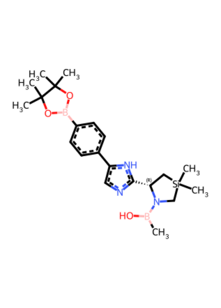 CB(O)N1C[Si](C)(C)C[C@H]1c1ncc(-c2ccc(B3OC(C)(C)C(C)(C)O3)cc2)[nH]1